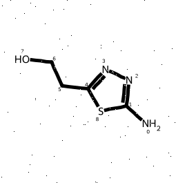 Nc1nnc(CCO)s1